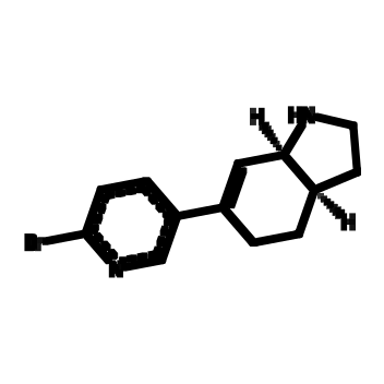 Brc1ccc(C2=C[C@H]3NCC[C@H]3CC2)cn1